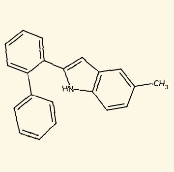 Cc1ccc2[nH]c(-c3ccccc3-c3ccccc3)cc2c1